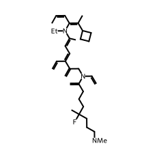 C=C/C(=C\C=C(/C)N(CC)C(/C=C\C)=C(/C)C1CCC1)C(=C)CN(C=C)C(=C)CCCC(C)(F)CCCNC